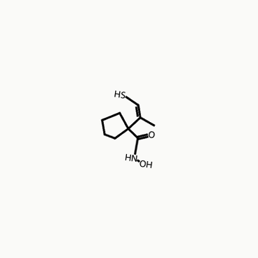 C/C(=C/S)C1(C(=O)NO)CCCC1